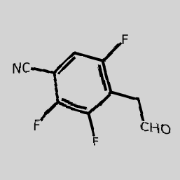 N#Cc1cc(F)c(CC=O)c(F)c1F